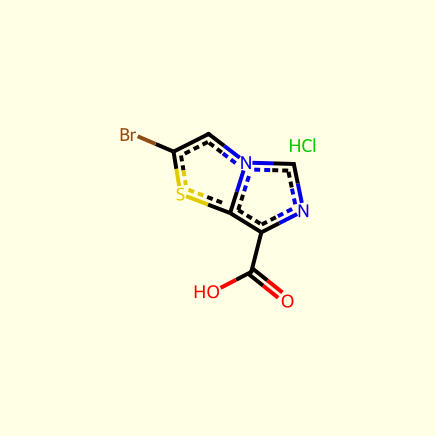 Cl.O=C(O)c1ncn2cc(Br)sc12